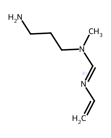 C=C/N=C/N(C)CCCN